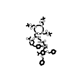 CC(=O)N1CCC(Cc2ccc(-n3c(C(=O)NCCNC(=O)CN4CCN(CC(=O)OC(C)(C)C)CCN(CC(=O)OC(C)(C)C)CCN(CC(=O)OC(C)(C)C)CC4)nnc3-c3cc(C(C)C)c(OCc4ccccc4)cc3OCc3ccccc3)cc2)CC1